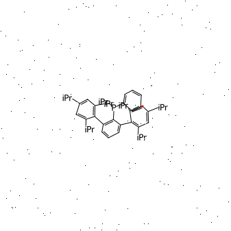 CC(C)c1cc(C(C)C)c(-c2cccc(-c3c(C(C)C)cc(C(C)C)cc3C(C)C)c2P(c2ccccc2)C(C)C)c(C(C)C)c1